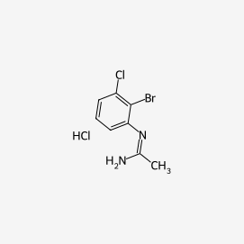 CC(N)=Nc1cccc(Cl)c1Br.Cl